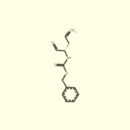 C=CC[C@@H](C=O)NC(=O)OCc1ccccc1